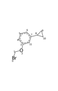 BrCOc1cccc(C2CC2)c1